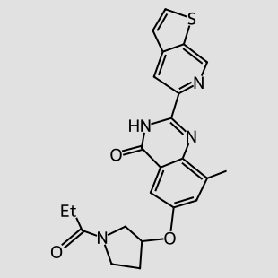 CCC(=O)N1CCC(Oc2cc(C)c3nc(-c4cc5ccsc5cn4)[nH]c(=O)c3c2)C1